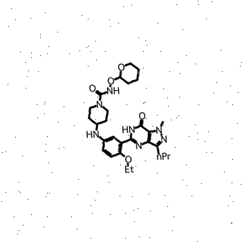 CCCc1nn(C)c2c(=O)[nH]c(-c3cc(NC4CCN(C(=O)NOC5CCCCO5)CC4)ccc3OCC)nc12